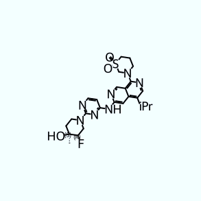 CC(C)c1cnc(N2CCCS(=O)(=O)C2)c2cnc(Nc3ccnc(N4CC[C@](C)(O)[C@H](F)C4)n3)cc12